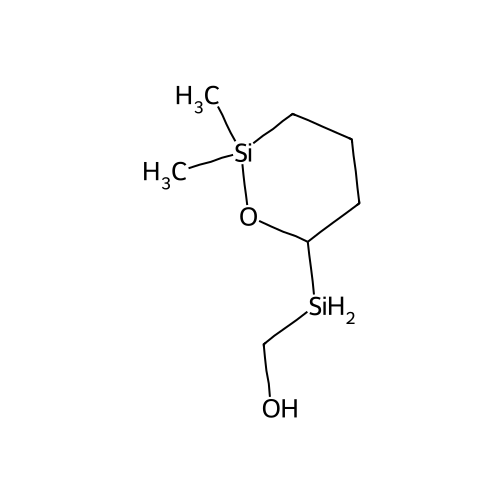 C[Si]1(C)CCCC([SiH2]CO)O1